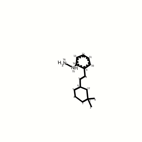 CC1(C)CCCC(CCc2ccccc2NN)C1